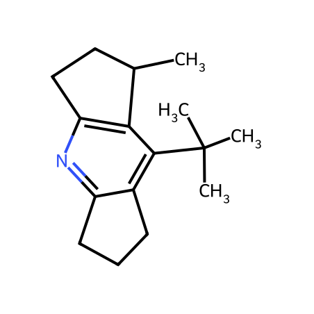 CC1CCc2nc3c(c(C(C)(C)C)c21)CCC3